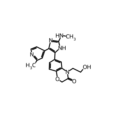 CNc1nc(-c2ccnc(C)c2)c(-c2ccc3c(c2)N(CCO)C(=O)CO3)[nH]1